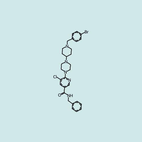 O=C(NCc1ccccc1)c1cnc(N2CCN(C3CCN(Cc4ccc(Br)cc4)CC3)CC2)c(Cl)c1